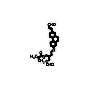 C=C(C)C(=O)OCC(CCOc1ccc2c(c1)CCc1cc(/C=C/C=O)ccc1-2)COC=O